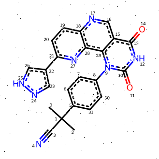 CC(C)(C#N)c1ccc(-n2c(=O)[nH]c(=O)c3cnc4ccc(-c5cn[nH]c5)nc4c32)cc1